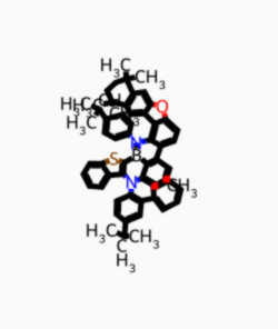 Cc1cc2c3c(c1)N(c1ccc(C(C)(C)C)cc1-c1ccccc1)c1c(sc4ccccc14)B3N(c1ccc(C(C)(C)C)cc1)c1c-2ccc2oc3cc4c(cc3c12)C(C)(C)CCC4(C)C